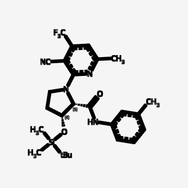 Cc1cccc(NC(=O)[C@@H]2[C@H](O[Si](C)(C)C(C)(C)C)CCN2c2nc(C)cc(C(F)(F)F)c2C#N)c1